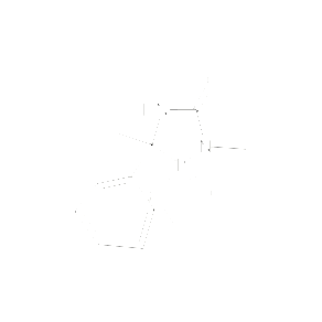 COP1(=O)N(C)C(=O)NC1(C)c1ccccc1